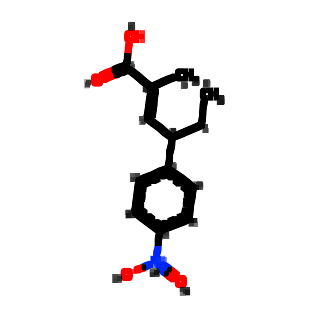 CCC(C=C(C)C(=O)O)c1ccc([N+](=O)[O-])cc1